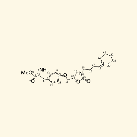 COC(=O)C(N)Cc1ccc(OCC2CN(CCCCN3CCCCC3)C(=O)O2)cc1